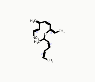 C=C(/C=C\C(=C/C)OC(C)/C=C\C=C/C)/C=C/[N+](=O)[O-]